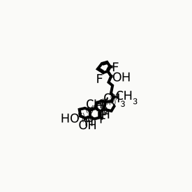 C[C@H](CCCC(O)c1c(F)cccc1F)[C@H]1CC[C@H]2C3=C(F)C[C@H]4[C@@H](O)[C@@H](O)CC[C@]4(C)[C@H]3CC[C@]12C